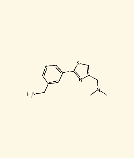 CN(C)Cc1csc(-c2cccc(CN)c2)n1